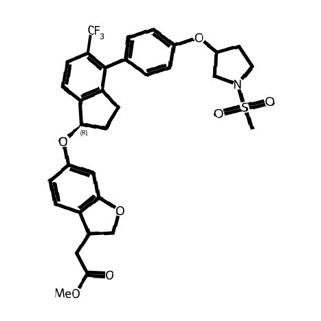 COC(=O)CC1COc2cc(O[C@@H]3CCc4c3ccc(C(F)(F)F)c4-c3ccc(OC4CCN(S(C)(=O)=O)C4)cc3)ccc21